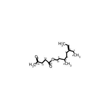 CC=C(CC)CCC(C)CCOC(=O)CCC(C)=O